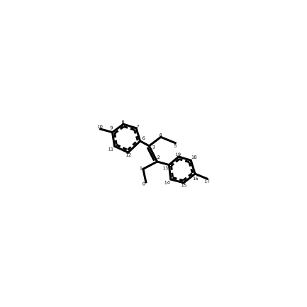 CC/C(=C(/CC)c1ccc(C)cc1)c1ccc(C)cc1